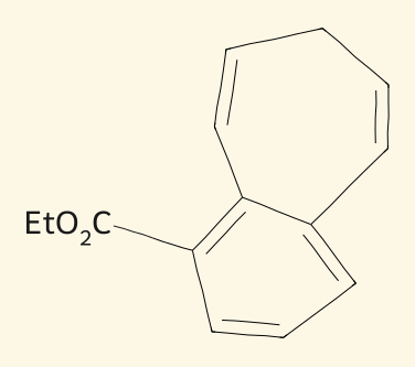 CCOC(=O)c1cccc2c1C=CCC=C2